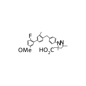 COc1ccc(F)c(-c2ccc(Cc3ccc(N4N=C(C)CC4(C)CC(=O)O)cc3)c(C)c2)c1